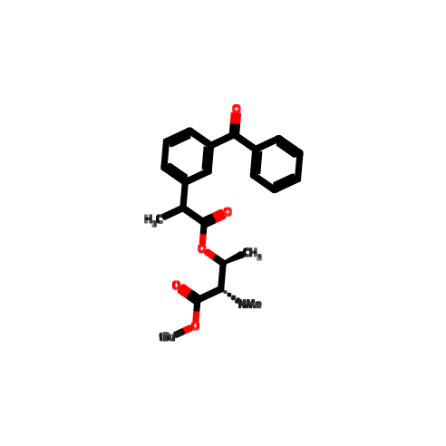 CN[C@H](C(=O)OC(C)(C)C)[C@H](C)OC(=O)C(C)c1cccc(C(=O)c2ccccc2)c1